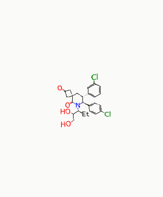 CC[C@@H](C(O)CO)N1C(=O)C2(CC(=O)C2)C[C@H](c2cccc(Cl)c2)[C@H]1c1ccc(Cl)cc1